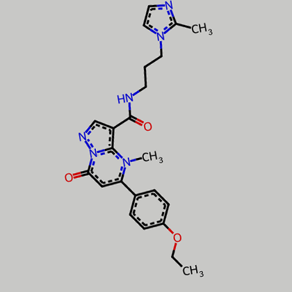 CCOc1ccc(-c2cc(=O)n3ncc(C(=O)NCCCn4ccnc4C)c3n2C)cc1